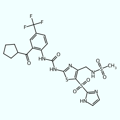 CS(=O)(=O)NCc1nc(NC(=O)Nc2ccc(C(F)(F)F)cc2C(=O)C2CCCC2)sc1S(=O)(=O)c1ncc[nH]1